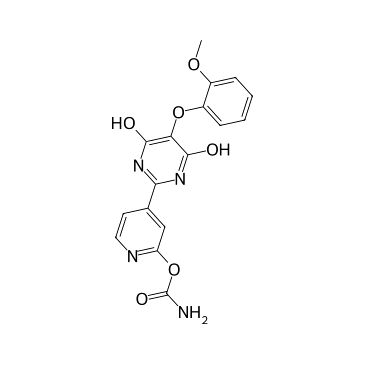 COc1ccccc1Oc1c(O)nc(-c2ccnc(OC(N)=O)c2)nc1O